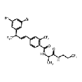 C[C@@H](NC(=O)c1ccc(/C=C/C(c2cc(Br)cc(Br)c2)C(F)(F)F)cc1C(F)(F)F)C(=O)NCCC(F)(F)F